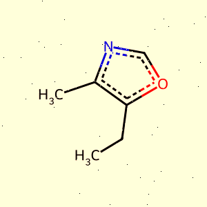 CCc1ocnc1C